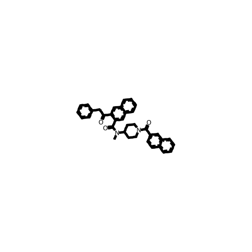 CN(C(=O)c1cc2ccccc2cc1C(=O)[CH]c1ccccc1)C1CCN(C(=O)c2ccc3ccccc3c2)CC1